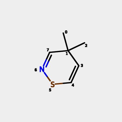 CC1(C)C=CSN=C1